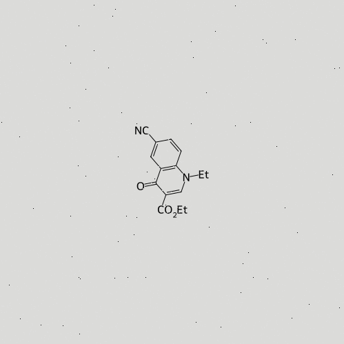 CCOC(=O)c1cn(CC)c2ccc(C#N)cc2c1=O